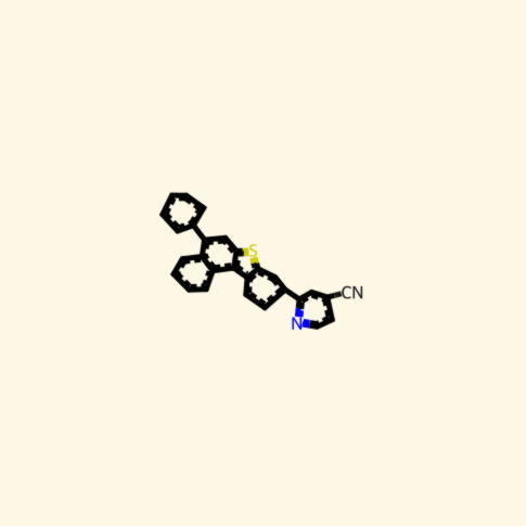 N#Cc1ccnc(-c2ccc3c(c2)sc2cc(-c4ccccc4)c4ccccc4c23)c1